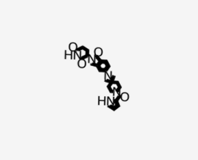 O=C1CCC(N2Cc3cc(N4CC5(CCN(C(=O)c6ccc[nH]6)CC5)C4)ccc3C2=O)C(=O)N1